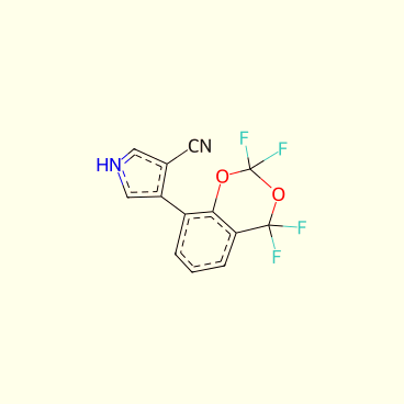 N#Cc1c[nH]cc1-c1cccc2c1OC(F)(F)OC2(F)F